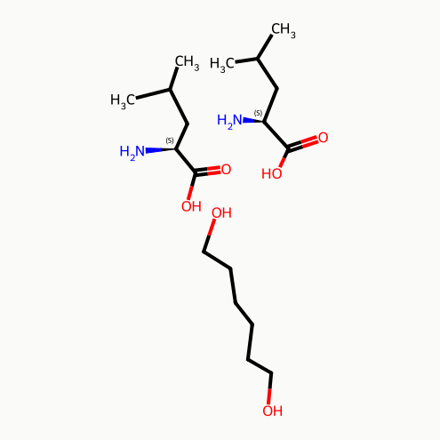 CC(C)C[C@H](N)C(=O)O.CC(C)C[C@H](N)C(=O)O.OCCCCCCO